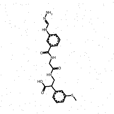 CSc1cccc(C(CNC(=O)CNC(=O)c2cccc(NC=NN)c2)C(=O)O)c1